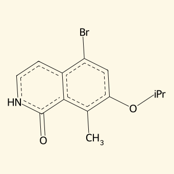 Cc1c(OC(C)C)cc(Br)c2cc[nH]c(=O)c12